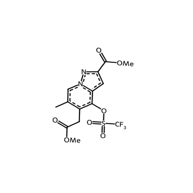 COC(=O)Cc1c(C)cn2nc(C(=O)OC)cc2c1OS(=O)(=O)C(F)(F)F